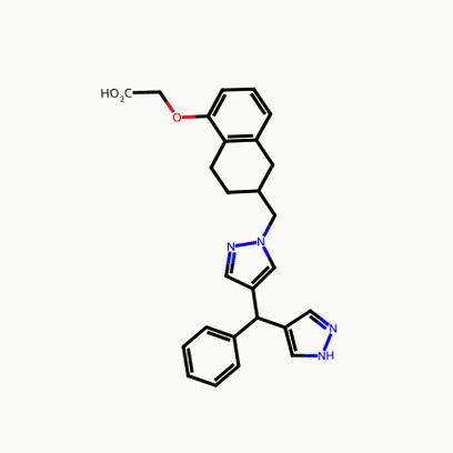 O=C(O)COc1cccc2c1CCC(Cn1cc(C(c3ccccc3)c3cn[nH]c3)cn1)C2